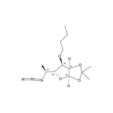 CCCCO[C@H]1[C@H]2OC(C)(C)O[C@H]2O[C@@H]1[C@H](C)N=[N+]=[N-]